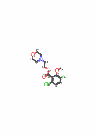 COc1c(Cl)ccc(Cl)c1C(=O)OCCN1CCOCC1